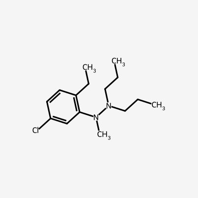 CCCN(CCC)N(C)c1cc(Cl)ccc1CC